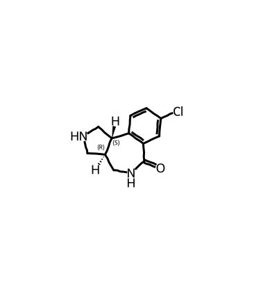 O=C1NC[C@H]2CNC[C@@H]2c2ccc(Cl)cc21